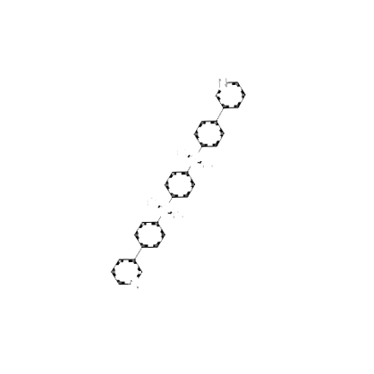 O=S(=O)(c1ccc(-c2cccnc2)cc1)c1ccc(S(=O)(=O)c2ccc(-c3cccnc3)cc2)cc1